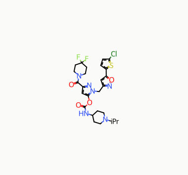 CC(C)N1CCC(NC(=O)Oc2cc(C(=O)N3CCC(F)(F)CC3)nn2Cc2cc(-c3ccc(Cl)s3)on2)CC1